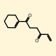 C=CC(=O)CCC(=O)C1=CCCCC1